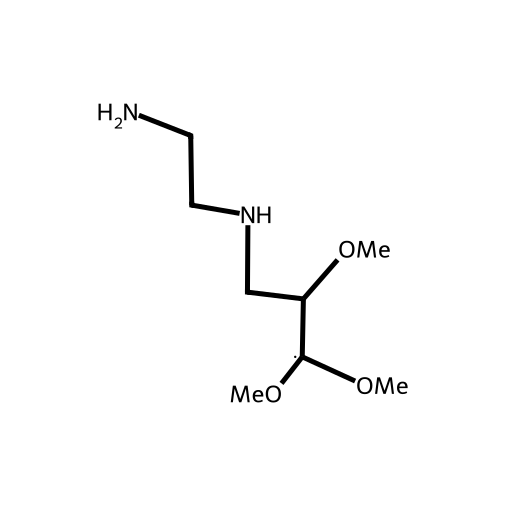 CO[C](OC)C(CNCCN)OC